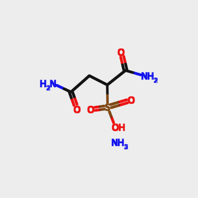 N.NC(=O)CC(C(N)=O)S(=O)(=O)O